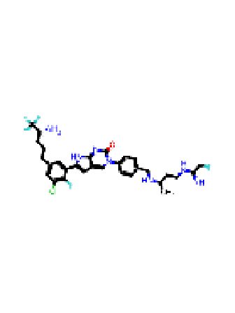 CC(CCNC(=N)CF)NCc1ccc(-n2cc3cc(-c4cc(CCC[C@@H](N)C(F)(F)F)cc(Cl)c4F)[nH]c3nc2=O)cc1